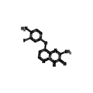 Cc1nc2c(Oc3ccc(N)c(F)c3)ccnc2[nH]c1=O